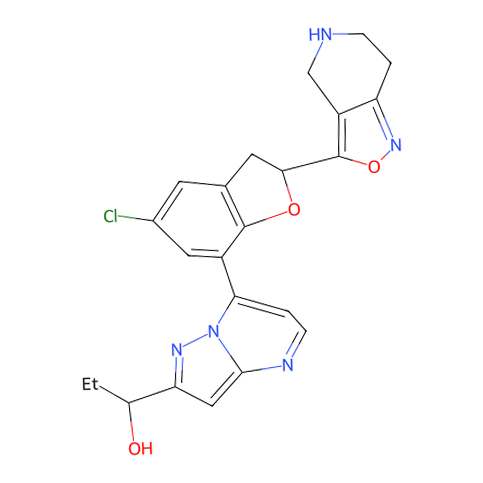 CCC(O)c1cc2nccc(-c3cc(Cl)cc4c3OC(c3onc5c3CNCC5)C4)n2n1